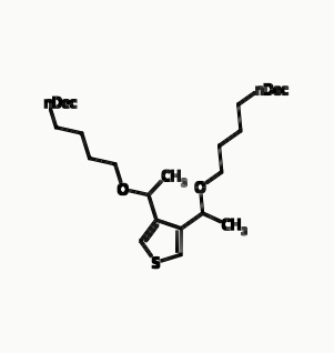 CCCCCCCCCCCCCCOC(C)c1cscc1C(C)OCCCCCCCCCCCCCC